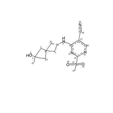 CC1(O)CC2(CC(Nc3nc(S(C)(=O)=O)ncc3C#N)C2)C1